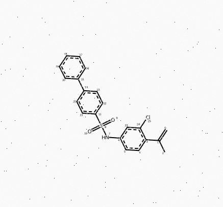 C=C(C)c1ccc(NS(=O)(=O)c2ccc(-c3ccccc3)cc2)cc1Cl